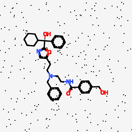 O=C(NCCN(CCc1cnc([C@](O)(c2ccccc2)C2CCCCC2)o1)Cc1ccccc1)c1ccc(CO)cc1